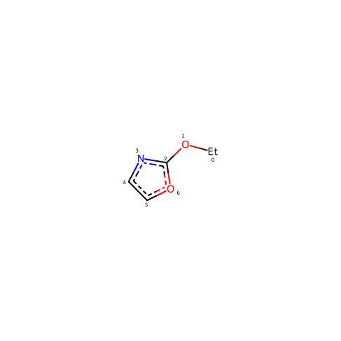 [CH2]COc1ncco1